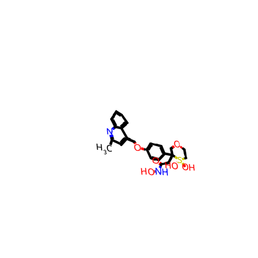 Cc1cc(COc2ccc(C3(CC(=O)NO)COCCS3(O)O)cc2)c2ccccc2n1